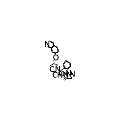 C[C@@H]1CC[C@H](COc2ccc3ccncc3c2)CN1C(=O)c1ccccc1-n1nccn1